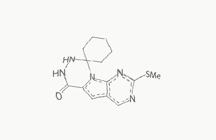 CSc1ncc2cc3n(c2n1)C1(CCCCC1)NNC3=O